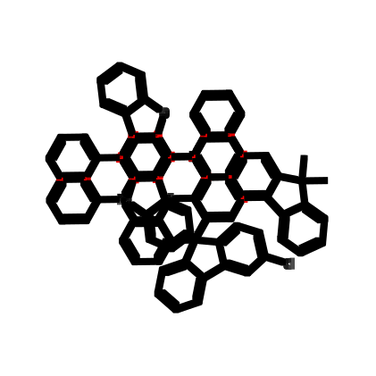 CC1(C)c2ccccc2-c2ccc(-c3ccccc3N(c3cccc4c3Sc3c(N(c5ccccc5)c5cc(-c6ccccc6)c6oc7ccccc7c6c5)cccc3C43c4ccccc4-c4cc(Cl)ccc43)c3ccc(-c4ccccc4)c4oc5ccccc5c34)cc21